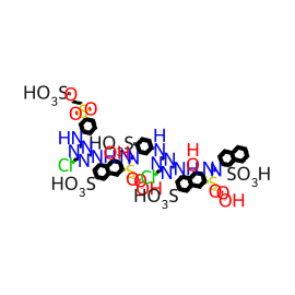 O=S(=O)(O)OCCS(=O)(=O)c1cccc(Nc2nc(Cl)nc(Nc3cc(S(=O)(=O)O)cc4cc(SOOO)c(/N=N/c5cc(Nc6nc(Cl)nc(Nc7cc(S(=O)(=O)O)cc8cc(SOOO)c(/N=N/c9ccc%10ccccc%10c9S(=O)(=O)O)c(O)c78)n6)ccc5S(=O)(=O)O)c(O)c34)n2)c1